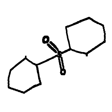 O=S(=O)(C1[CH]CCCC1)C1[CH]CCCC1